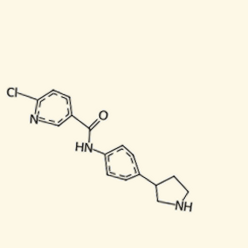 O=C(Nc1ccc(C2CCNC2)cc1)c1ccc(Cl)nc1